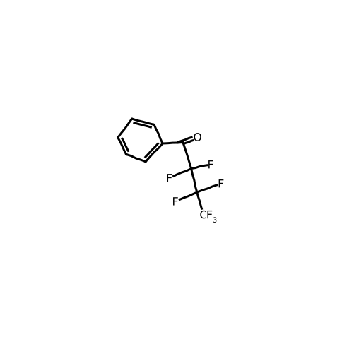 O=C(c1ccccc1)C(F)(F)C(F)(F)C(F)(F)F